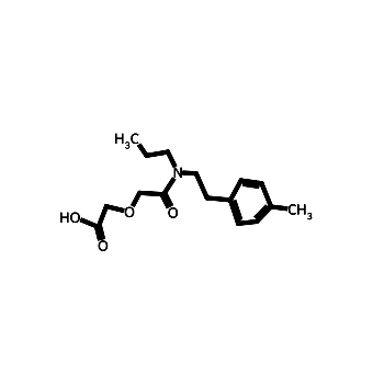 CCCN(CCc1ccc(C)cc1)C(=O)COCC(=O)O